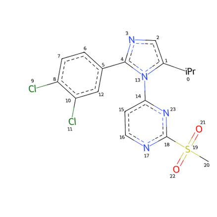 CC(C)c1cnc(-c2ccc(Cl)c(Cl)c2)n1-c1ccnc(S(C)(=O)=O)n1